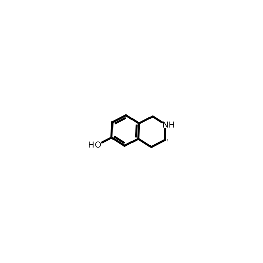 Oc1ccc2c(c1)C[C]NC2